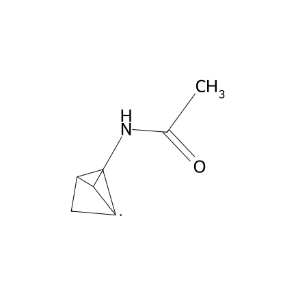 CC(=O)NC1[C]2CC1C2